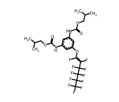 CC(C)COC(=O)Nc1cc(NC(=O)OCC(C)C)cc(OC(F)=C(F)C(F)(F)C(F)(F)C(F)(F)C(F)(F)F)c1